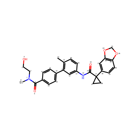 CCN(CCO)C(=O)c1ccc(-c2cc(NC(=O)C3(c4ccc5c(c4)OCO5)CC3)ccc2C)cc1